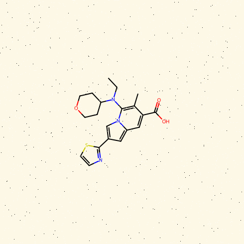 CCN(c1c(C)c(C(=O)O)cc2cc(-c3nccs3)cn12)C1CCOCC1